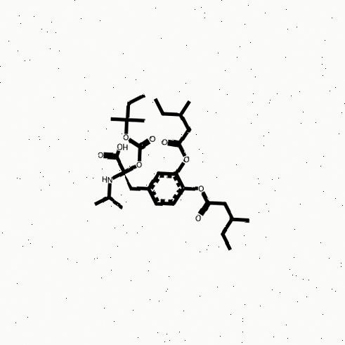 CCC(C)CC(=O)Oc1ccc(C[C@](NC(C)C)(OC(=O)OC(C)(C)CC)C(=O)O)cc1OC(=O)CC(C)CC